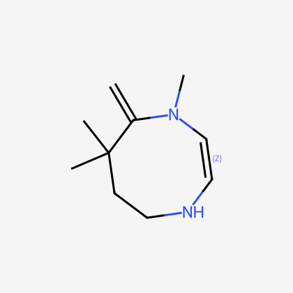 C=C1N(C)/C=C\NCCC1(C)C